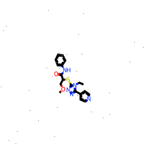 CCn1c(SC(COC)C(=O)Nc2ccccc2)nnc1-c1ccncc1